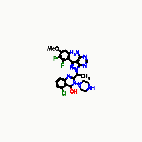 COc1ccc(-c2nn(C(C)C3=Nc4cccc(Cl)c4C(O)N3N3CCNCC3)c3ncnc(N)c23)c(F)c1F